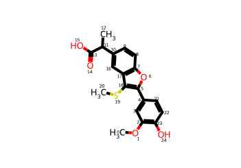 COc1cc(-c2oc3ccc(C(C)C(=O)O)cc3c2SC)ccc1O